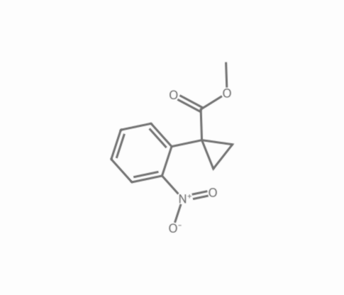 COC(=O)C1(c2ccccc2[N+](=O)[O-])CC1